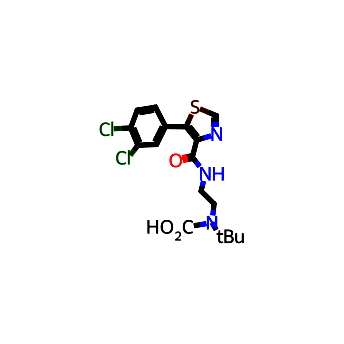 CC(C)(C)N(CCNC(=O)c1ncsc1-c1ccc(Cl)c(Cl)c1)C(=O)O